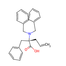 C=CC[C@](Cc1ccccc1)(C(=O)O)N(Cc1ccccc1)Cc1ccccc1